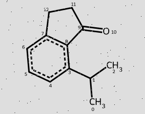 CC(C)c1cccc2c1C(=O)CC2